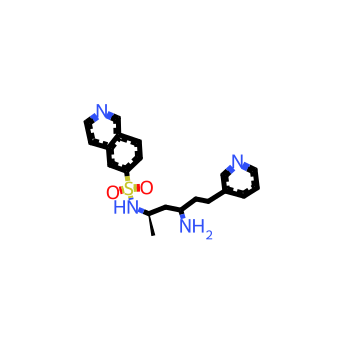 C[C@H](CC(N)CCc1cccnc1)NS(=O)(=O)c1ccc2cnccc2c1